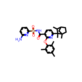 Cc1cc(C)c(Oc2nc(C3(C)C(C)C4CCC3(C)C4)ccc2C(=O)NS(=O)(=O)c2cccc(N)n2)c(C)c1